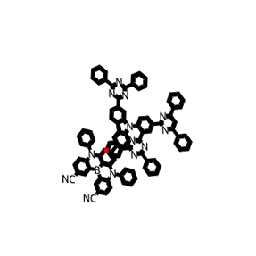 N#Cc1ccc2c(c1)B1c3cc(C#N)ccc3N(c3ccccc3)c3cc(-c4ccc5c(c4)c4ccc(-c6nc(-c7ccccc7)nc(-c7ccccc7)n6)cc4n5-c4ccc(-c5nc(-c6ccccc6)cc(-c6ccccc6)n5)cc4-c4nc(-c5ccccc5)nc(-c5ccccc5)n4)cc(c31)N2c1ccccc1